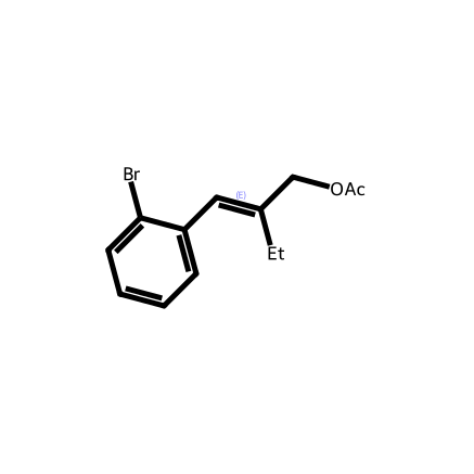 CC/C(=C\c1ccccc1Br)COC(C)=O